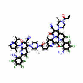 C=CC(=O)N1CCN(c2c(C#N)c(=O)n(-c3c(C)cc(/C=C\C(=O)N4CCN(c5c(C#N)c(=O)n(-c6c(C)ccnc6C(C)C)c6nc(-c7c(N)c(Cl)c(F)c(Cl)c7F)c(Cl)cc56)C[C@H]4C)nc3C(C)C)c3nc(-c4c(F)c(N)c(F)c(Cl)c4F)c(Cl)cc23)C[C@H]1C